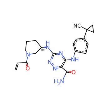 C=CC(=O)N1CCC[C@@H](Nc2nnc(C(N)=O)c(Nc3ccc(C4(C#N)CC4)cc3)n2)C1